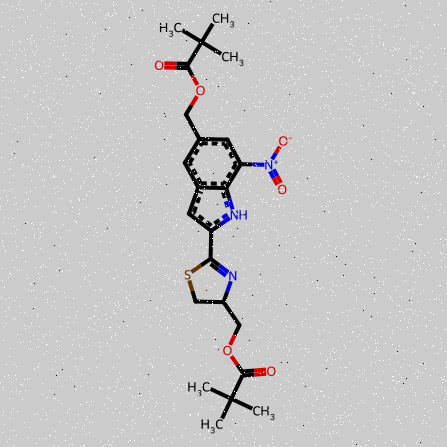 CC(C)(C)C(=O)OCc1cc([N+](=O)[O-])c2[nH]c(C3=NC(COC(=O)C(C)(C)C)CS3)cc2c1